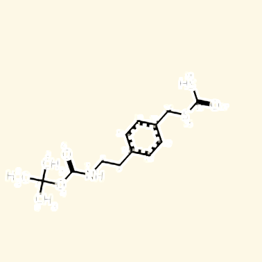 CC(C)(C)OC(=O)NCCc1ccc(CSC(=O)S)cc1